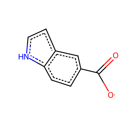 [O]C(=O)c1ccc2[nH]ccc2c1